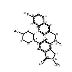 CC(=O)N1CCN(c2nc3c(c(N(C)Cc4cc5ccc(F)cc5cn4)n2)CN(C(C)C)C3=O)CC1